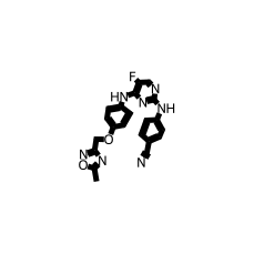 Cc1nc(COc2ccc(Nc3nc(Nc4ccc(C#N)cc4)ncc3F)cc2)no1